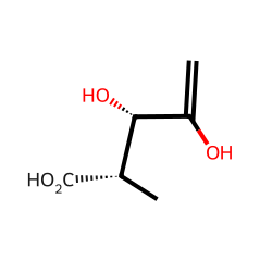 C=C(O)[C@@H](O)[C@H](C)C(=O)O